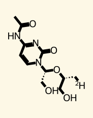 [2H]C[C@H](CO)O[C@H](CO)n1ccc(NC(C)=O)nc1=O